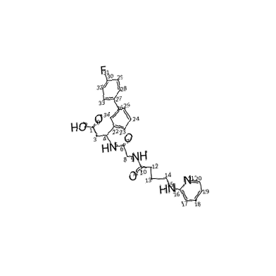 O=C(O)CC(NC(=O)CNC(=O)CCCNc1ccccn1)c1cccc(-c2ccc(F)cc2)c1